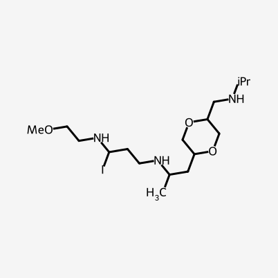 COCCNC(I)CCNC(C)CC1COC(CNC(C)C)CO1